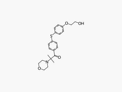 CC(C)(C(=O)c1ccc(Sc2ccc(OCCO)cc2)cc1)N1CCOCC1